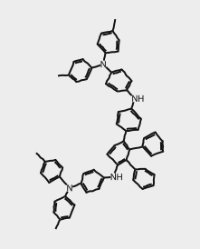 Cc1ccc(N(c2ccc(C)cc2)c2ccc(Nc3ccc(-c4ccc(Nc5ccc(N(c6ccc(C)cc6)c6ccc(C)cc6)cc5)c(-c5ccccc5)c4-c4ccccc4)cc3)cc2)cc1